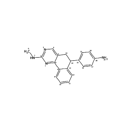 CNc1ncc2c(n1)-c1ccccc1C(c1ccc(N)cc1)C2